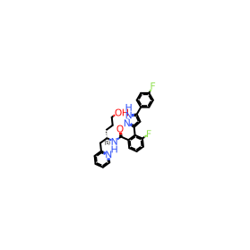 O=C(N[C@@H](CCCO)Cc1ccccn1)c1cccc(F)c1-c1cc(-c2ccc(F)cc2)[nH]n1